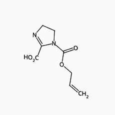 C=CCOC(=O)N1CCN=C1C(=O)O